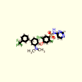 CN(C)[C@H]1C[C@@H](c2cccc(C(F)(F)F)c2)CC[C@@H]1Oc1cc(F)c(S(=O)(=O)Nc2ccncn2)cc1Br